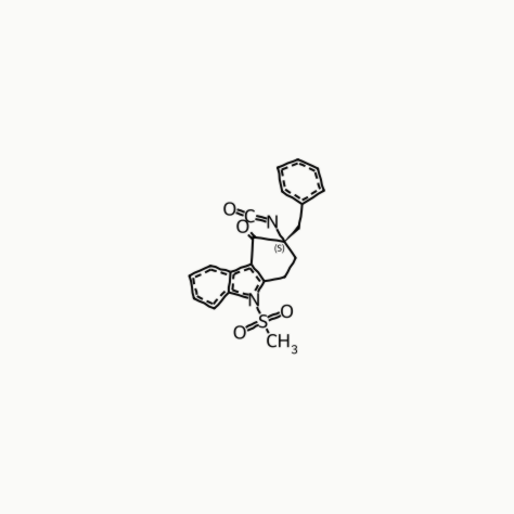 CS(=O)(=O)n1c2c(c3ccccc31)C(=O)[C@](Cc1ccccc1)(N=C=O)CC2